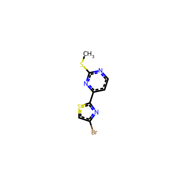 CSc1nccc(-c2nc(Br)cs2)n1